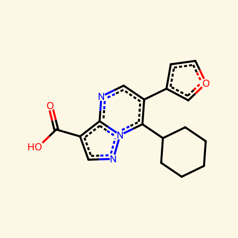 O=C(O)c1cnn2c(C3CCCCC3)c(-c3ccoc3)cnc12